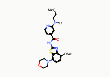 CCN(CCOC)c1cc(C(=O)Nc2nc3c(OC)ccc(N4CCOCC4)c3s2)ccn1